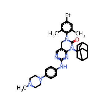 CCc1cc(C)c(N2Cc3cnc(Nc4ccc(N5CCN(C)CC5)cc4)nc3N(C34CC5CC(CC(C5)C3)C4)C2=O)c(C)c1